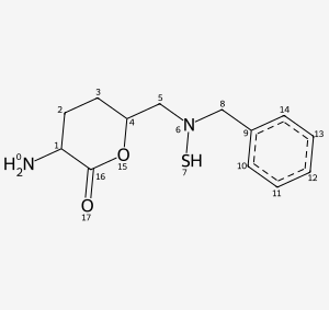 NC1CCC(CN(S)Cc2ccccc2)OC1=O